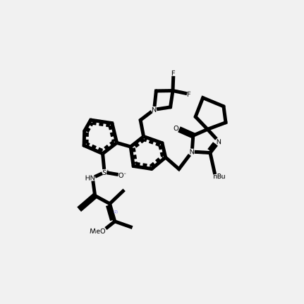 C=C(N[S+]([O-])c1ccccc1-c1ccc(CN2C(=O)C3(CCCC3)N=C2CCCC)cc1CN1CC(F)(F)C1)/C(C)=C(/C)OC